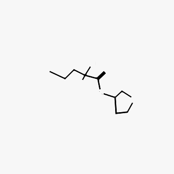 CCCC(C)(C)C(=O)NC1CCOC1